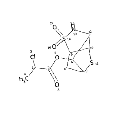 CC(Cl)C(=O)OC1C2CC3C(S2)C1NS3(=O)=O